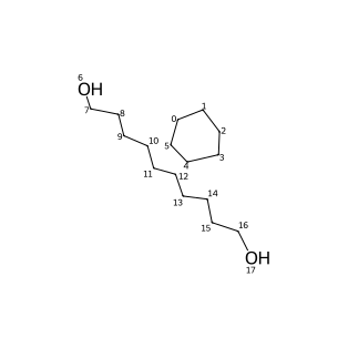 C1CCCCC1.OCCCCCCCCCCO